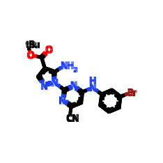 CC(C)(C)OC(=O)c1cnn(-c2nc(C#N)cc(Nc3cccc(Br)c3)n2)c1N